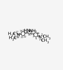 CCN(CC)c1ccc(C2=CC(c3ccc(N(CC)CC)cc3)NN2)cc1